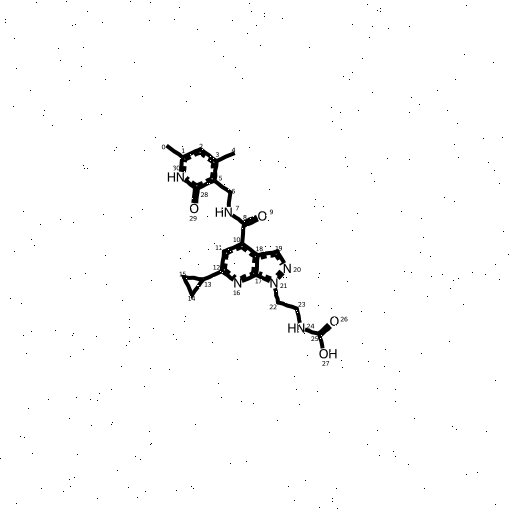 Cc1cc(C)c(CNC(=O)c2cc(C3CC3)nc3c2cnn3CCNC(=O)O)c(=O)[nH]1